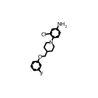 Nc1ccc(N2CCC(COc3cccc(F)c3)CC2)c(Cl)c1